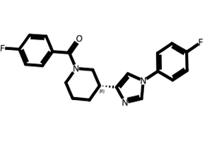 O=C(c1ccc(F)cc1)N1CCC[C@@H](c2cn(-c3ccc(F)cc3)cn2)C1